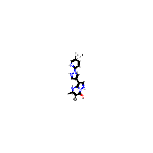 CCc1c(C)[nH]c2c(-c3cnn(-c4ccc(C(=O)O)cn4)c3)cnn2c1=O